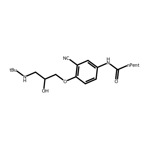 CCCCCC(=O)Nc1ccc(OCC(O)CNC(C)(C)C)c(C#N)c1